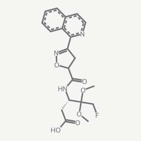 COC(CF)(OC)[C@H](CC(=O)O)NC(=O)C1CC(c2nccc3ccccc23)=NO1